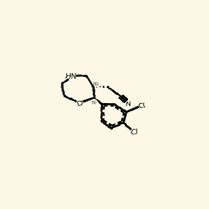 N#CC[C@H]1CNCCO[C@@H]1c1ccc(Cl)c(Cl)c1